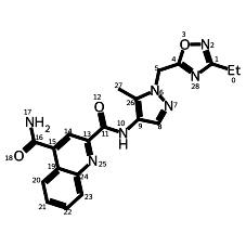 CCc1noc(Cn2ncc(NC(=O)c3cc(C(N)=O)c4ccccc4n3)c2C)n1